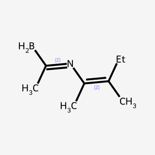 B/C(C)=N/C(C)=C(/C)CC